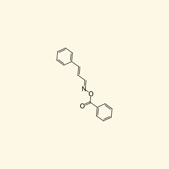 O=C(O/N=C/C=C/c1ccccc1)c1ccccc1